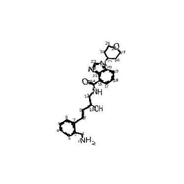 NCc1ccccc1CC[C@H](O)CNC(=O)c1cccc2c1ncn2C1CCOCC1